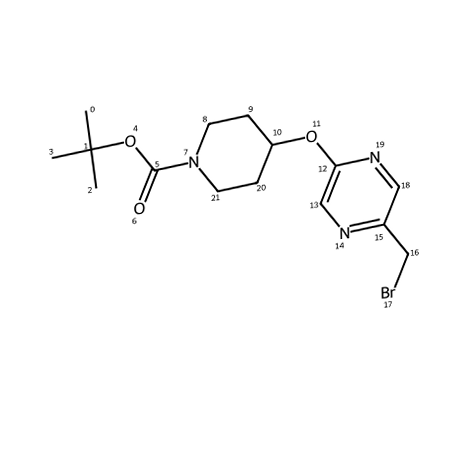 CC(C)(C)OC(=O)N1CCC(Oc2cnc(CBr)cn2)CC1